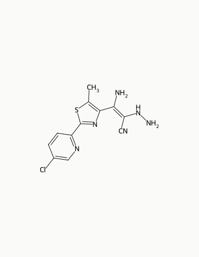 Cc1sc(-c2ccc(Cl)cn2)nc1/C(N)=C(\C#N)NN